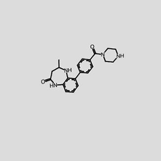 CC1CC(=O)Nc2cccc(-c3ccc(C(=O)N4CCNCC4)cc3)c2N1